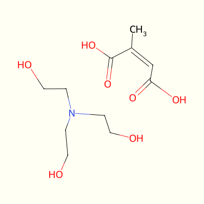 C/C(=C/C(=O)O)C(=O)O.OCCN(CCO)CCO